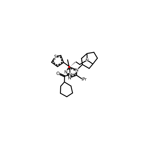 Cc1nnc(C(C)C)n1C1CC2CCC(C1)N2CC[C@H](NC(=O)C1CCCCC1)c1ccsc1